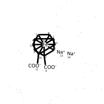 O=C([O-])[C]12[CH]3[CH]4[CH]5[CH]1[Fe]45321678[CH]2[CH]1[CH]6[C]7(C(=O)[O-])[CH]28.[Na+].[Na+]